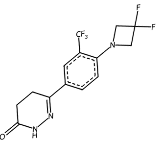 O=C1CCC(c2ccc(N3CC(F)(F)C3)c(C(F)(F)F)c2)=NN1